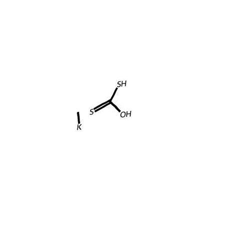 OC(=S)S.[CH3][K]